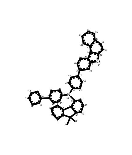 CC1(C)c2ccccc2-c2c(N(c3ccc(-c4ccccc4)cc3)c3ccc(-c4ccc5c(c4)oc4ccc6ccccc6c45)cc3)cccc21